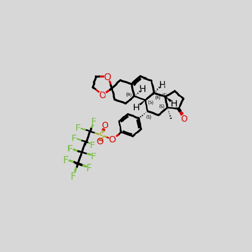 C[C@]12C[C@H](c3ccc(OS(=O)(=O)C(F)(F)C(F)(F)C(F)(F)C(F)(F)F)cc3)[C@H]3[C@@H](CC=C4CC5(CC[C@@H]43)OCCO5)[C@@H]1CCC2=O